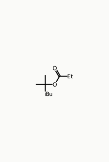 CCC(=O)OC(C)(C)C(C)CC